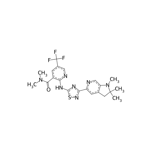 CN(C)C(=O)c1cc(C(F)(F)F)cnc1Nc1nc(-c2cc3c(cn2)N(C)C(C)(C)C3)ns1